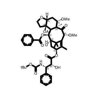 CO[C@H]1C(=O)[C@@]2(C)C([C@H](OC(=O)c3ccccc3)[C@]3(O)C[C@H](OC(=O)[C@H](O)[C@@H](NC(=O)OC(C)(C)C)c4ccccc4)C(C)=C1C3(C)C)[C@]1(OC(C)=O)CCO[C@@H]1C[C@@H]2OC